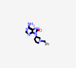 C[C](C)CN1CCC[C@@H](n2c(=O)[nH]c3c(N)ncnc32)C1